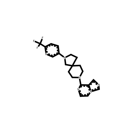 FC(F)(F)c1ccc(N2CCC3(CCN(c4nccn5cncc45)CC3)C2)cn1